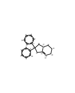 c1ccc(C2(c3ccccc3)CC3=NCCCN3C2)cc1